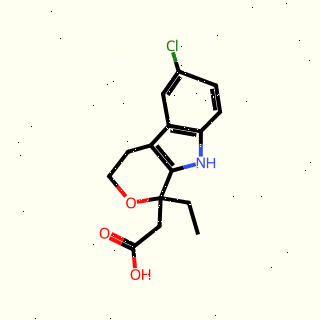 CCC1(CC(=O)O)OCCc2c1[nH]c1ccc(Cl)cc21